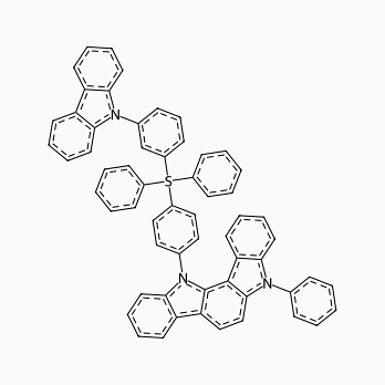 c1ccc(-n2c3ccccc3c3c2ccc2c4ccccc4n(-c4ccc(S(c5ccccc5)(c5ccccc5)c5cccc(-n6c7ccccc7c7ccccc76)c5)cc4)c23)cc1